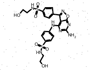 Nc1nc(Nc2ccc(S(=O)(=O)NCCO)cc2)c2c(-c3ccc(S(=O)(=O)NCCO)cc3)noc2n1